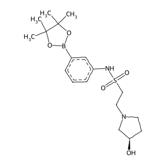 CC1(C)OB(c2cccc(NS(=O)(=O)CCN3CC[C@@H](O)C3)c2)OC1(C)C